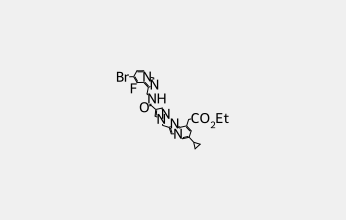 CCOC(=O)Cc1cc(C2CC2)cn2cc(Cn3cc(C(=O)NCc4ncn5ccc(Br)c(F)c45)cn3)nc12